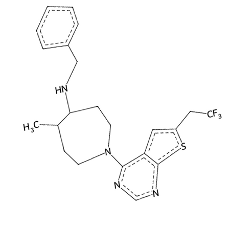 CC1CCN(c2ncnc3sc(CC(F)(F)F)cc23)CCC1NCc1ccccc1